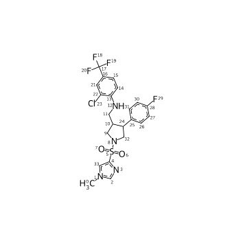 Cn1cnc(S(=O)(=O)N2CC(CNc3ccc(C(F)(F)F)cc3Cl)C(c3ccc(F)cc3)C2)c1